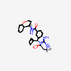 CC(C)[C@]1(C)CC(=O)N(C(c2cccc(C(=O)N[C@H]3CCOc4ccccc43)c2)C23CC(C2)C3)C(=N)N1